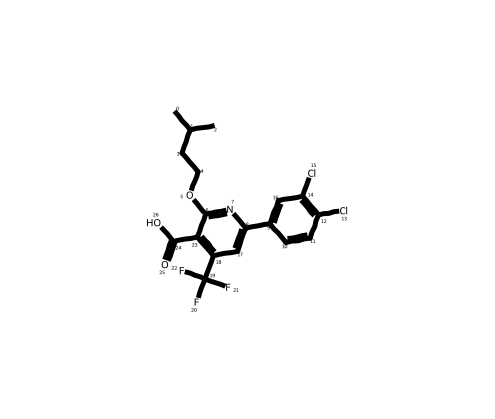 CC(C)CCOc1nc(-c2ccc(Cl)c(Cl)c2)cc(C(F)(F)F)c1C(=O)O